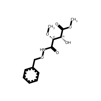 COC(=O)[C@H](O)[C@@H](OC)C(=O)NOCc1ccccc1